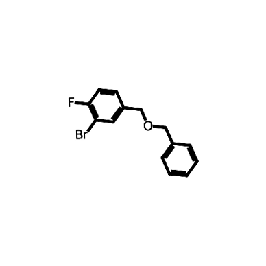 Fc1ccc(COCc2ccccc2)cc1Br